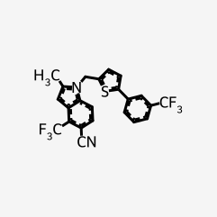 Cc1cc2c(C(F)(F)F)c(C#N)ccc2n1Cc1ccc(-c2cccc(C(F)(F)F)c2)s1